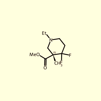 CCN1CCC(F)(F)[C@](C)(C(=O)OC)C1